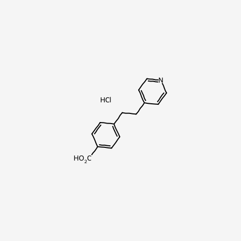 Cl.O=C(O)c1ccc(CCc2ccncc2)cc1